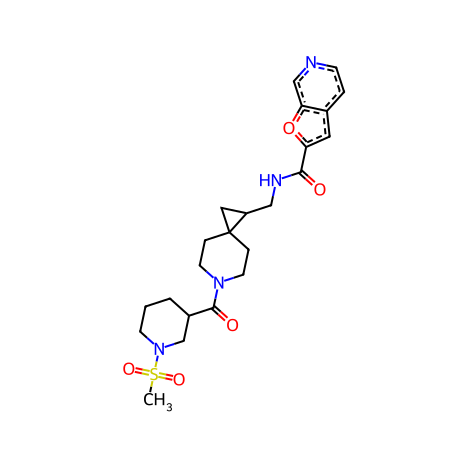 CS(=O)(=O)N1CCCC(C(=O)N2CCC3(CC2)CC3CNC(=O)c2cc3ccncc3o2)C1